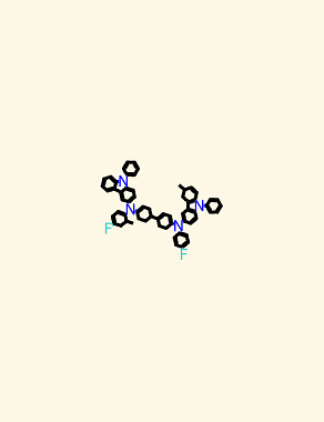 CC1C=Cc2c(c3cc(N(C4=CC=C(C5CC=C(N(C6=CC=C(F)CC6C)c6ccc7c(c6)c6ccccc6n7-c6ccccc6)CC5)CC4)c4ccc(F)cc4)ccc3n2-c2ccccc2)C1